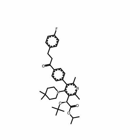 Cc1nc(C)c([C@H](OC(C)(C)C)C(=O)OC(C)C)c(N2CCC(C)(C)CC2)c1-c1ccc(C(=O)CCc2ccc(F)cc2)cc1